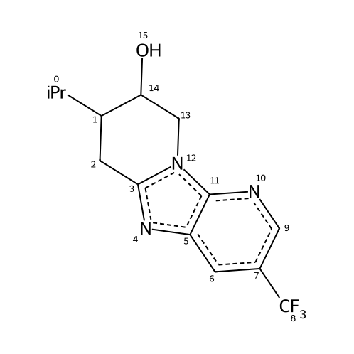 CC(C)C1Cc2nc3cc(C(F)(F)F)cnc3n2CC1O